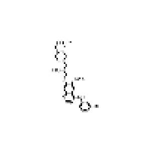 CCOC(=O)CN1CCC(CC(O)COc2cc3ncnc(Nc4cccc(Br)c4)c3cc2OC)CC1